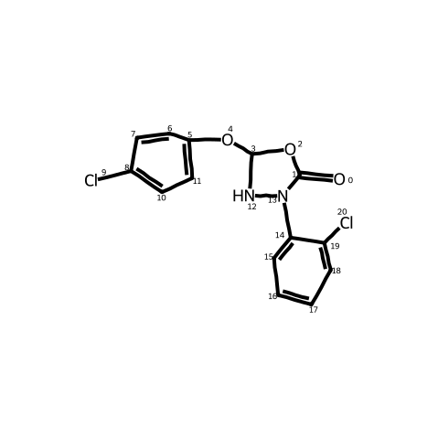 O=C1OC(Oc2ccc(Cl)cc2)NN1c1ccccc1Cl